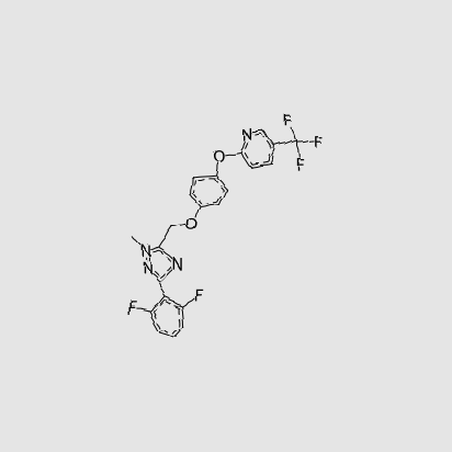 Cn1nc(-c2c(F)cccc2F)nc1COc1ccc(Oc2ccc(C(F)(F)F)cn2)cc1